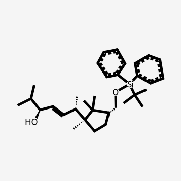 CC(C)[C@H](O)/C=C/[C@H](C)[C@]1(C)CC[C@@H](CO[Si](c2ccccc2)(c2ccccc2)C(C)(C)C)C1(C)C